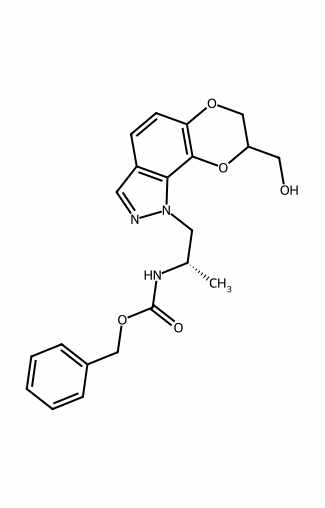 C[C@@H](Cn1ncc2ccc3c(c21)OC(CO)CO3)NC(=O)OCc1ccccc1